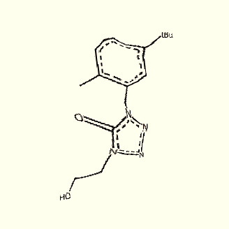 Cc1ccc(C(C)(C)C)cc1-n1nnn(CCO)c1=O